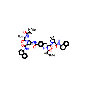 CN[C@@H](C)C(=O)N[C@@H](Cc1ccc(C(=O)N[C@H]2C[C@@H](C(=O)N[C@@H]3CCCc4ccccc43)N(C(=O)[C@@H](NC(=O)[C@H](C)NC)C(C)(C)C)C2)cc1)C(=O)N1C[Si](C)(C)C[C@H]1C(=O)N[C@@H]1CCCc2ccccc21